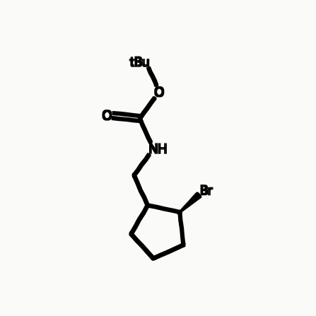 CC(C)(C)OC(=O)NCC1CCC[C@@H]1Br